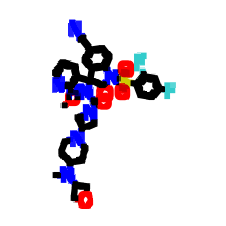 COc1ncccc1C1(NC(=O)N2CC(N3CCC(N(C)C4COC4)CC3)C2)C(=O)N(S(=O)(=O)c2ccc(F)cc2F)c2ccc(C#N)cc21